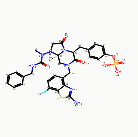 CN(C(=O)NCc1ccccc1)N1CC(=O)N2[C@H]1CN(Cc1ccc(F)c3sc(N)nc13)C(=O)[C@@H]2Cc1ccc(OP(=O)(O)O)cc1